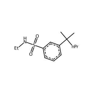 CCCC(C)(C)c1cccc(S(=O)(=O)NCC)c1